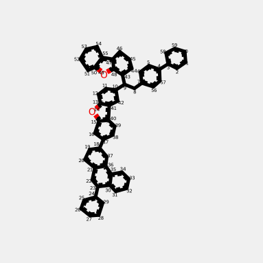 c1ccc(-c2ccc(CC(c3ccc4oc5cc(-c6ccc7cc(-c8ccccc8)c8ccccc8c7c6)ccc5c4c3)c3cccc4c3oc3ccccc34)cc2)cc1